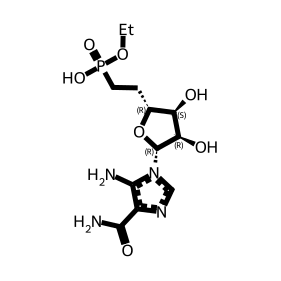 CCOP(=O)(O)CC[C@H]1O[C@@H](n2cnc(C(N)=O)c2N)[C@H](O)[C@@H]1O